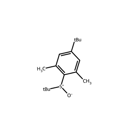 Cc1cc(C(C)(C)C)cc(C)c1[S+]([O-])C(C)(C)C